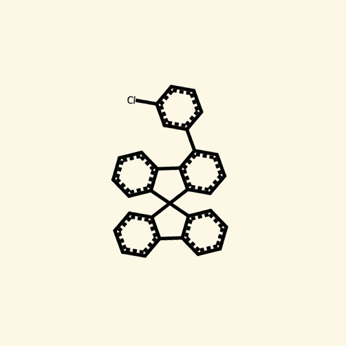 Clc1cccc(-c2cccc3c2-c2ccccc2C32c3ccccc3-c3ccccc32)c1